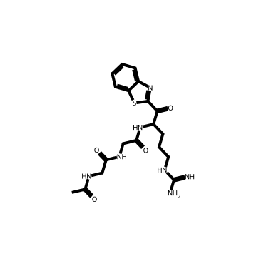 CC(=O)NCC(=O)NCC(=O)NC(CCCNC(=N)N)C(=O)c1nc2ccccc2s1